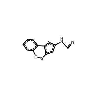 O=CNc1cc2c(s1)-c1ccccc1OS2